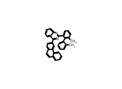 Cc1ccccc1-c1c(C)cccc1-c1nc(-c2ccc3ccc4ccccc4c3c2)c2ccccc2n1